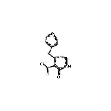 O=C(Cl)c1c(Cc2ccccc2)cc[nH]c1=O